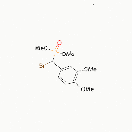 COc1ccc(C(Br)P(=O)(OC)OC)cc1OC